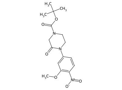 COc1cc(N2CCN(C(=O)OC(C)(C)C)CC2=O)ccc1[N+](=O)[O-]